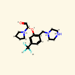 O=C[C@H](Oc1cc(C(F)(F)F)ccc1CN1CCNCC1)N1CCCC1